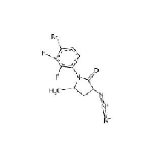 CC1CC(N=[N+]=[N-])C(=O)N1c1ccc(Br)c(F)c1F